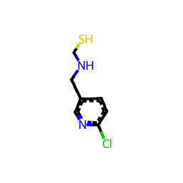 SCNCc1ccc(Cl)nc1